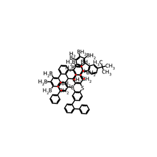 Bc1c(B)c(B)c(-c2cccc(-c3c(B)c(B)c(B)c(B)c3B)c2C2c3ccc(-c4ccccc4)cc3B3c4cc(-c5ccccc5-c5ccccc5)ccc4Sc4cc(-n5c6ccc(C(C)(C)C)cc6c6c(B)c(B)c(B)c(B)c65)cc2c43)c(B)c1B